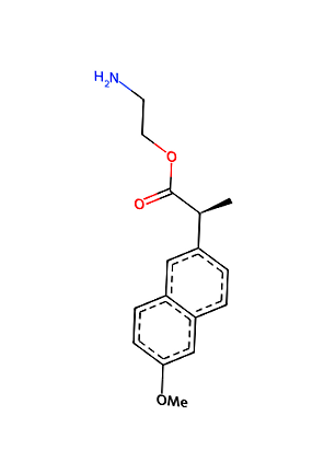 COc1ccc2cc([C@H](C)C(=O)OCCN)ccc2c1